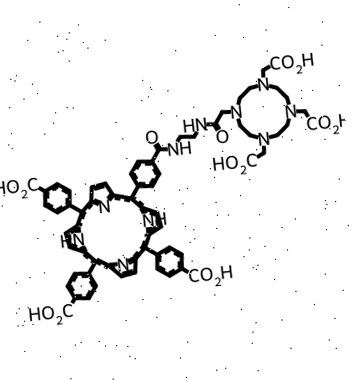 O=C(O)CN1CCN(CC(=O)O)CCN(CC(=O)NCCNC(=O)c2ccc(-c3c4nc(c(-c5ccc(C(=O)O)cc5)c5ccc([nH]5)c(-c5ccc(C(=O)O)cc5)c5nc(c(-c6ccc(C(=O)O)cc6)c6ccc3[nH]6)C=C5)C=C4)cc2)CCN(CC(=O)O)CC1